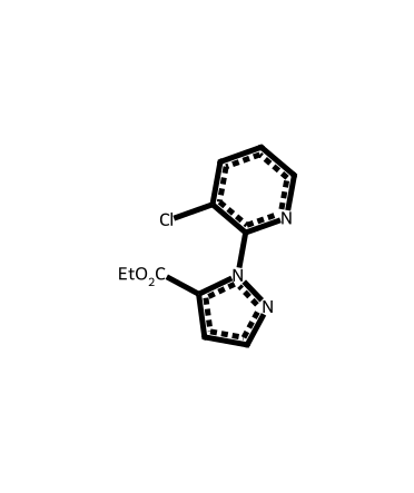 CCOC(=O)c1ccnn1-c1ncccc1Cl